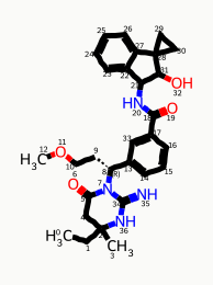 CCC1(C)CC(=O)N([C@H](CCOC)c2cccc(C(=O)NC3c4ccccc4C4(CC4)C3O)c2)C(=N)N1